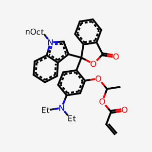 C=CC(=O)OC(C)Oc1cc(N(CC)CC)ccc1C1(c2cn(CCCCCCCC)c3ccccc23)OC(=O)c2ccccc21